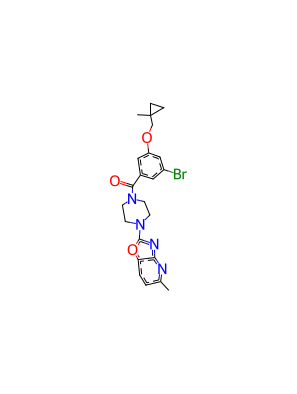 Cc1ccc2oc(N3CCN(C(=O)c4cc(Br)cc(OCC5(C)CC5)c4)CC3)nc2n1